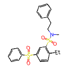 CCc1ccc(S(=O)(=O)c2ccccc2)cc1S(=O)(=O)N(C)CCc1ccccc1